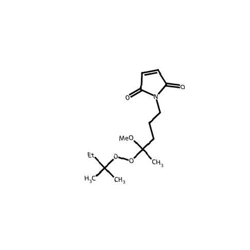 CCC(C)(C)OOC(C)(CCCN1C(=O)C=CC1=O)OC